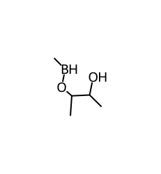 CBOC(C)C(C)O